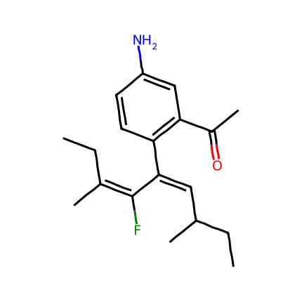 CC/C(C)=C(F)\C(=C/C(C)CC)c1ccc(N)cc1C(C)=O